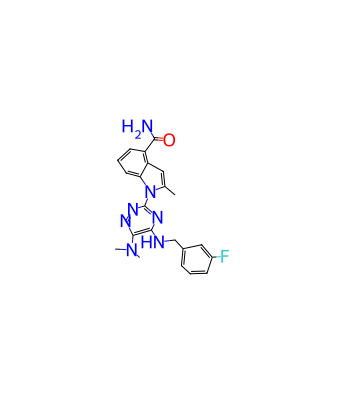 Cc1cc2c(C(N)=O)cccc2n1-c1nnc(N(C)C)c(NCc2cccc(F)c2)n1